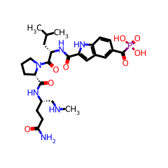 CNC[C@H](CCC(N)=O)NC(=O)[C@@H]1CCCN1C(=O)[C@H](CC(C)C)NC(=O)c1cc2cc(C(=O)P(=O)(O)O)ccc2[nH]1